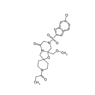 CCC(=O)N1CCC2(CC1)CN1C(=O)CN(S(=O)(=O)c3cc4ccc(Cl)cc4s3)CC1(COC)O2